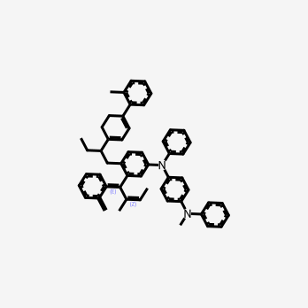 C=c1cccc/c1=C(/C(C)=C\C)c1cc(N(c2ccccc2)c2ccc(N(C)c3ccccc3)cc2)ccc1CC(CC)C1=CC=C(c2ccccc2C)CC1